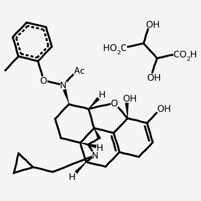 CC(=O)N(Oc1ccccc1C)[C@@H]1CC[C@H]2[C@H]3CC4=C5[C@](O)(O[C@@H]1[C@]52CCN3CC1CC1)C(O)=CC4.O=C(O)C(O)C(O)C(=O)O